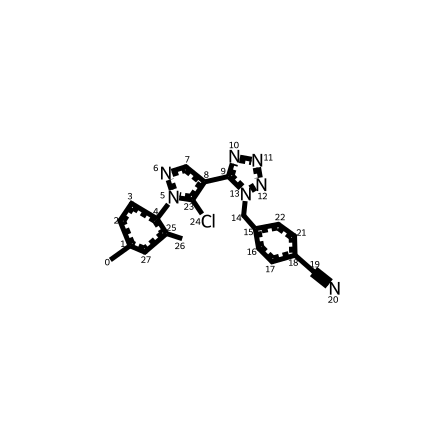 Cc1ccc(-n2ncc(-c3nnnn3Cc3ccc(C#N)cc3)c2Cl)c(C)c1